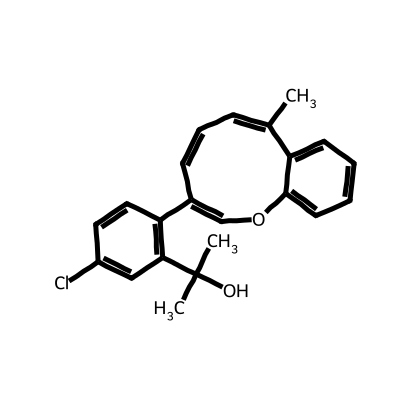 Cc1cccc(-c2ccc(Cl)cc2C(C)(C)O)coc2ccccc12